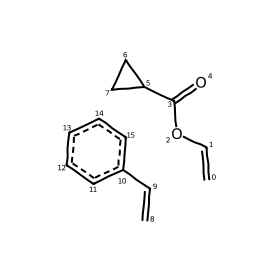 C=COC(=O)C1CC1.C=Cc1ccccc1